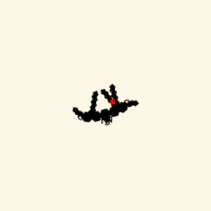 CCCCCCCCC1(C)c2cc(OCCCC)ccc2-c2ccc(-c3ccc(-c4ccc5c(c4)C(CCCCCCCC)(CCCCCCCC)c4cc(OCCCC)ccc4-5)c4nsnc34)cc21